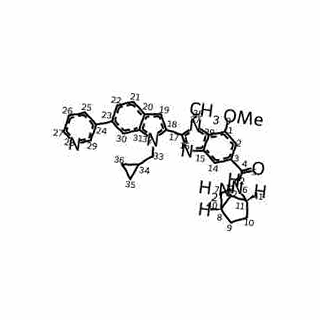 COc1cc(C(=O)N2C[C@H]3CC[C@@H]2[C@@H]3N)cc2nc(-c3cc4ccc(-c5cccnc5)cc4n3CC3CC3)n(C)c12